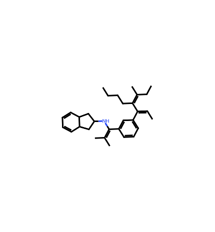 C/C=C(/C(CCCC)=C(/C)CC)c1cccc(C(NC2CC3C=CC=CC3C2)=C(C)C)c1